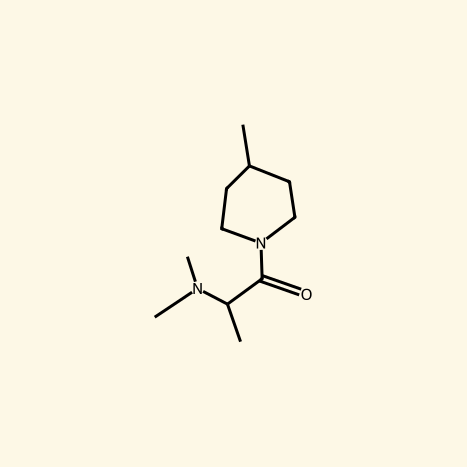 CC1CCN(C(=O)C(C)N(C)C)CC1